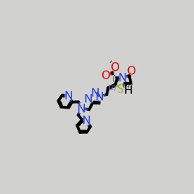 COC(=O)[C@H]1/C(=C/Cn2cc(CN(Cc3ccccn3)Cc3ccccn3)nn2)S[C@@H]2CC(=O)N21